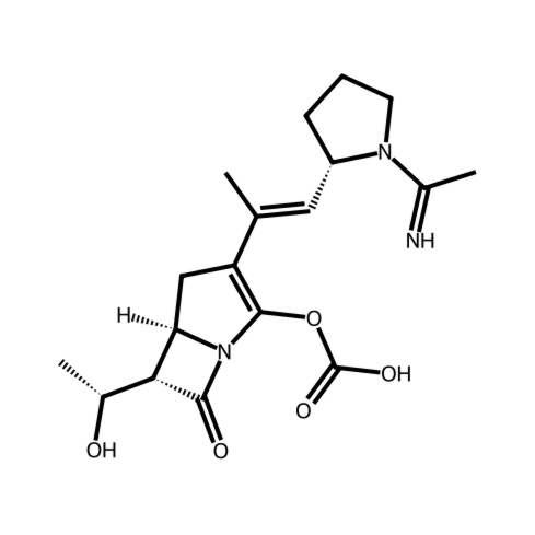 CC(=N)N1CCC[C@H]1/C=C(\C)C1=C(OC(=O)O)N2C(=O)[C@H]([C@@H](C)O)[C@H]2C1